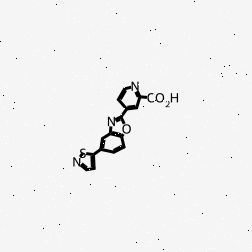 O=C(O)c1cc(-c2nc3cc(-c4ccns4)ccc3o2)ccn1